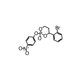 O=[N+]([O-])c1ccc(OP2(=O)OCCC(c3ccccc3Br)O2)cc1